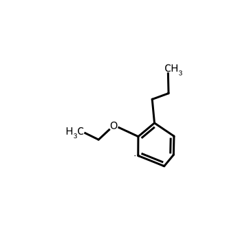 CCCc1ccc[c]c1OCC